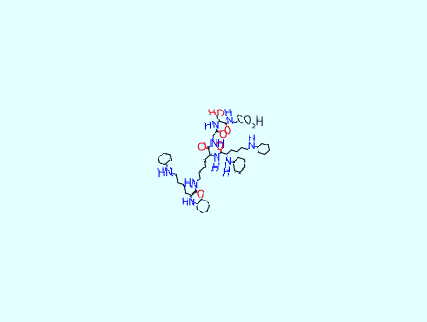 O=C(O)CNC(=O)C(CO)NC(=O)CNC(=O)C(CCCCNC(=O)C(CCCCNC1CCCCC1)NC1CCCCCC1)NC(=O)C(CCCCNC1CCCCC1)NC1CCCCC1